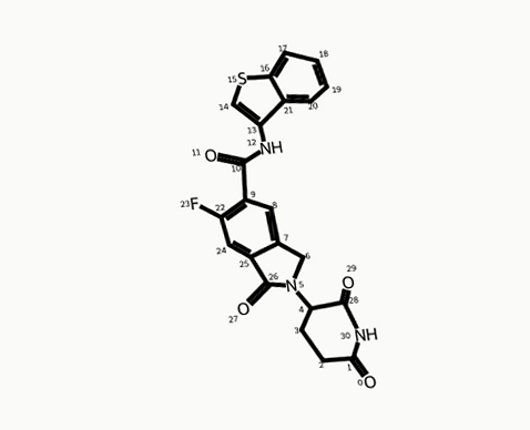 O=C1CCC(N2Cc3cc(C(=O)Nc4csc5ccccc45)c(F)cc3C2=O)C(=O)N1